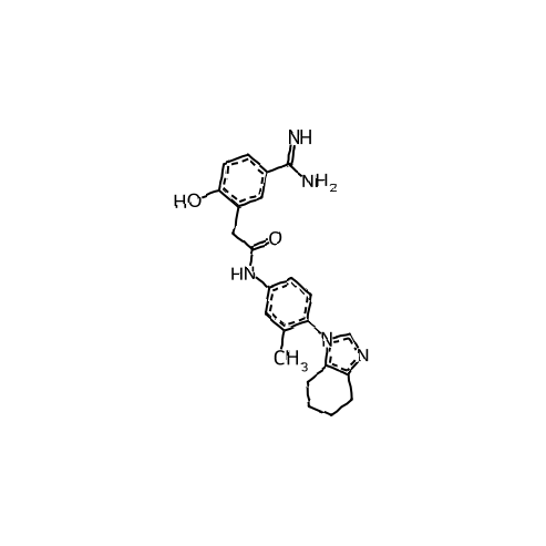 Cc1cc(NC(=O)Cc2cc(C(=N)N)ccc2O)ccc1-n1cnc2c1CCCC2